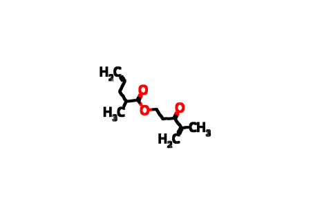 C=CCC(C)C(=O)OCCC(=O)C(=C)C